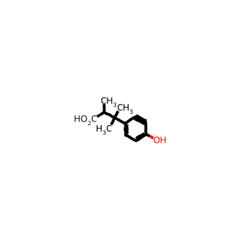 CC(C(=O)O)C(C)(C)c1c#cc(O)cc1